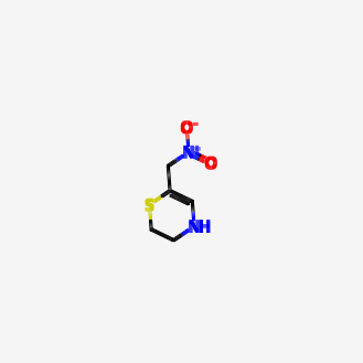 O=[N+]([O-])CC1=CNCCS1